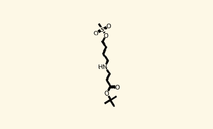 CC(C)(C)OC(=O)CCNCCCCOS(C)(=O)=O